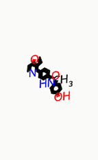 CC1(NC(=O)c2ccc(-c3nccc4occc34)cc2)CCC(O)CC1